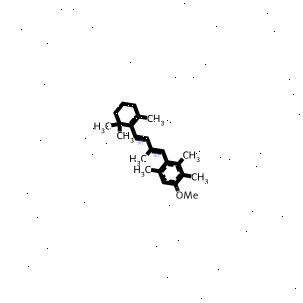 COc1cc(C)c(/C=C(C)/C=C/C2=C(C)CCCC2(C)C)c(C)c1C